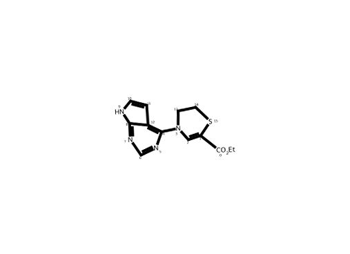 CCOC(=O)C1=CN(c2ncnc3[nH]ccc23)CCS1